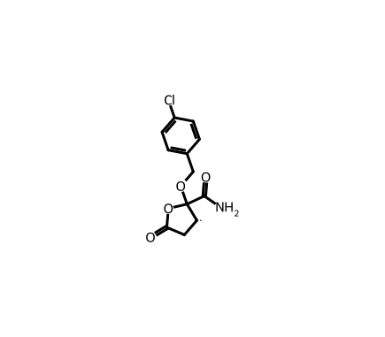 NC(=O)C1(OCc2ccc(Cl)cc2)[CH]CC(=O)O1